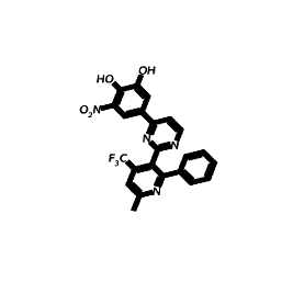 Cc1cc(C(F)(F)F)c(-c2nccc(-c3cc(O)c(O)c([N+](=O)[O-])c3)n2)c(-c2ccccc2)n1